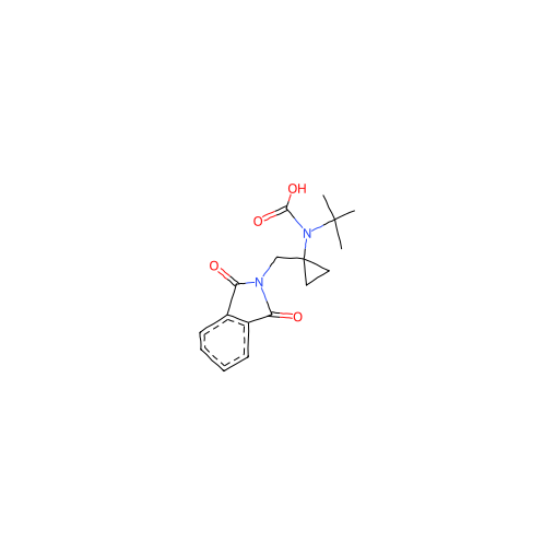 CC(C)(C)N(C(=O)O)C1(CN2C(=O)c3ccccc3C2=O)CC1